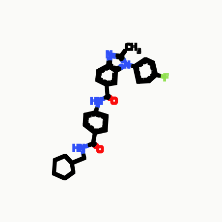 Cc1nc2ccc(C(=O)Nc3ccc(C(=O)NCC4CCCCC4)cc3)cc2n1-c1ccc(F)cc1